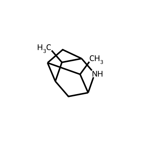 CC1C2CC3C(C)C(CC13)N2